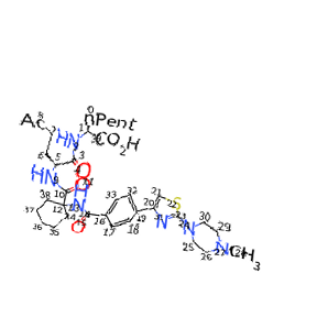 CCCCC[C@H](NC(=O)[C@H](CCC(C)=O)NC(=O)C1(NC(=O)c2ccc(-c3csc(N4CCN(C)CC4)n3)cc2)CCCCC1)C(=O)O